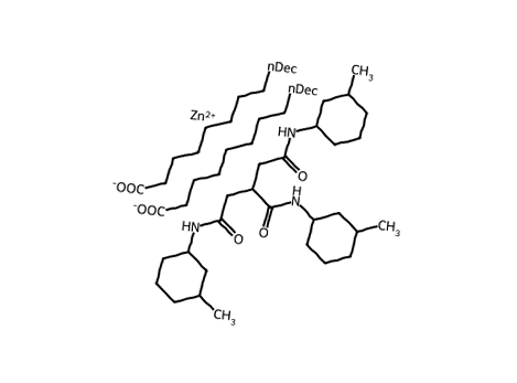 CC1CCCC(NC(=O)CC(CC(=O)NC2CCCC(C)C2)C(=O)NC2CCCC(C)C2)C1.CCCCCCCCCCCCCCCCCC(=O)[O-].CCCCCCCCCCCCCCCCCC(=O)[O-].[Zn+2]